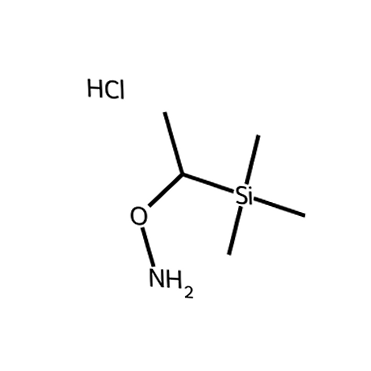 CC(ON)[Si](C)(C)C.Cl